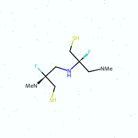 CNC[C@@](F)(CS)NC[C@@](F)(CS)NC